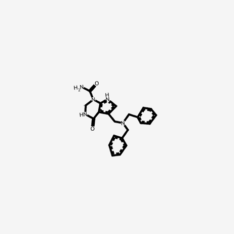 NC(=O)N1[CH]NC(=O)c2c(CN(Cc3ccccc3)Cc3ccccc3)c[nH]c21